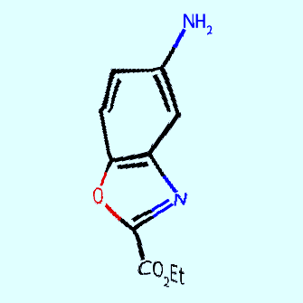 CCOC(=O)c1nc2cc(N)ccc2o1